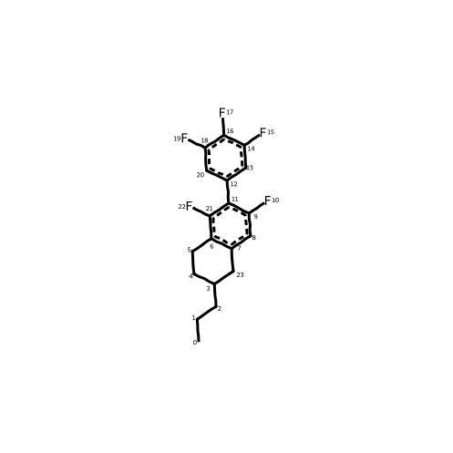 CCCC1CCc2c(cc(F)c(-c3cc(F)c(F)c(F)c3)c2F)C1